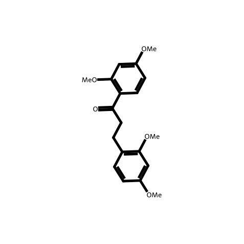 COc1ccc(CCC(=O)c2ccc(OC)cc2OC)c(OC)c1